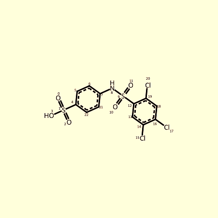 O=S(=O)(O)c1ccc(NS(=O)(=O)c2cc(Cl)c(Cl)cc2Cl)cc1